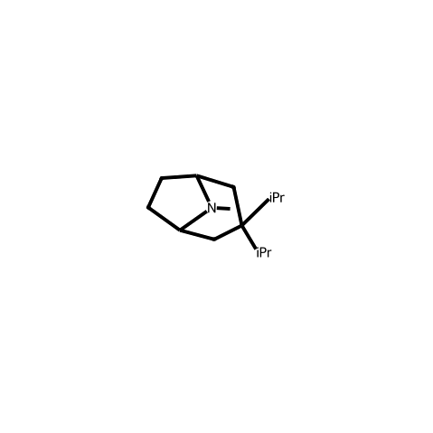 CC(C)C1(C(C)C)CC2CCC(C1)N2C